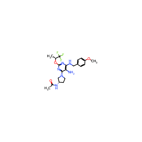 COc1ccc(CNc2nc(O[C@@H](C)C(F)(F)F)nc(N3CC[C@H](NC(C)=O)C3)c2N)cc1